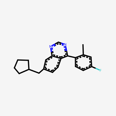 Cc1cc(F)ccc1-c1ncnc2cc(CC3CCCC3)ccc12